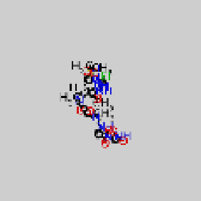 COc1cc(CCN(C)CC2CC3OC(CN(C)CCNc4cccc5c4C(=O)N(C4CCC(=O)NC4=O)C5=O)CC3O2)c(C)cc1Nc1ncc(Cl)c(Nc2ccccc2S(=O)(=O)C(C)C)n1